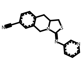 N#Cc1ccc2c(c1)CN1C(=Nc3cccnc3)SCC1C2